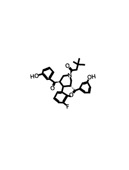 Cc1c(F)cccc1C1[C@@H](C(=O)c2cccc(O)c2)CN(C(=O)CC(C)(C)C)C[C@@H]1C(=O)c1cccc(O)c1